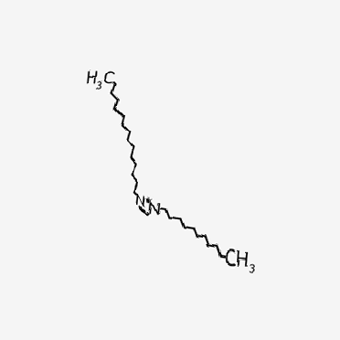 CCCCCCCCCCCCCCC[n+]1ccn(CCCCCCCCCCC)c1